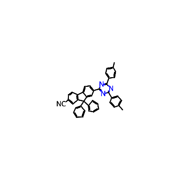 Cc1ccc(-c2nc(-c3ccc(C)cc3)nc(-c3ccc4c(c3)C(c3ccccc3)(c3ccccc3)c3cc(C#N)ccc3-4)n2)cc1